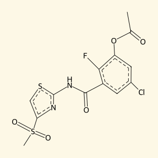 CC(=O)Oc1cc(Cl)cc(C(=O)Nc2nc(S(C)(=O)=O)cs2)c1F